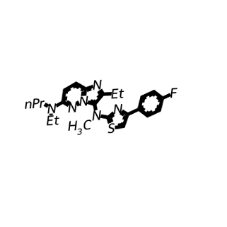 CCCN(CC)c1ccc2nc(CC)c(N(C)c3nc(-c4ccc(F)cc4)cs3)n2n1